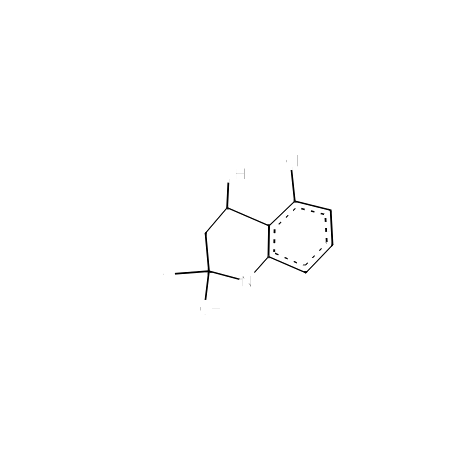 CC1CC(C)(C)Nc2cccc(Cl)c21